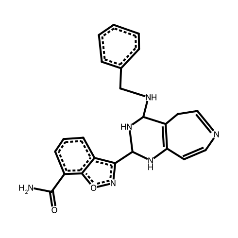 NC(=O)c1cccc2c(C3NC4=C(CC=NC=C4)C(NCc4ccccc4)N3)noc12